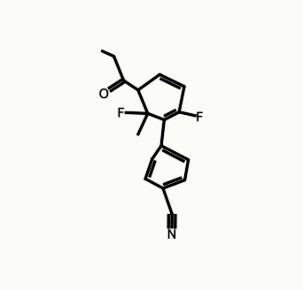 CCC(=O)C1C=CC(F)=C(c2ccc(C#N)cc2)C1(C)F